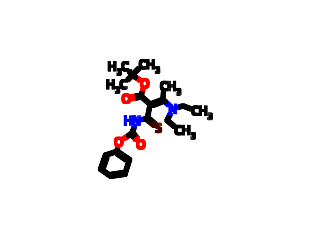 CCN(CC)C(C)=C(C(=O)OC(C)(C)C)C(=S)NC(=O)Oc1ccccc1